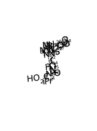 CC(C)C[C@H](NC(=O)O)C(=O)N1CCC(CCn2c(Sc3cc4c(cc3Br)OCO4)nc3c(N)ncnc32)CC1